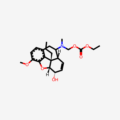 CCC[C@]12c3c4ccc(OC)c3O[C@H]1[C@@H](O)C=C[C@H]2C(N(C)COC(=O)OCC)C4